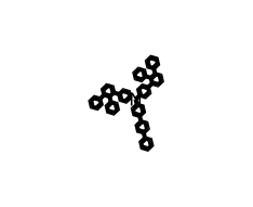 c1ccc(-c2ccc(-c3ccc(N(c4ccc(-c5cccc(-c6ccccc6)c5-c5ccccc5)cc4)c4ccc(-c5cccc(-c6ccccc6)c5-c5ccccc5)cc4)cc3)cc2)cc1